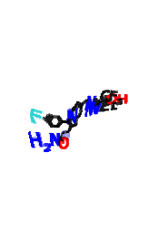 CCC(O)(c1cn(Cc2ccn3c(-c4ccc(F)cc4)c(/C=C/C(N)=O)cc3c2)nn1)C(F)(F)F